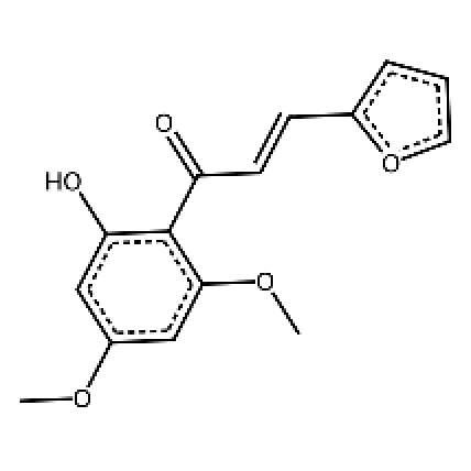 COc1cc(O)c(C(=O)/C=C/c2ccco2)c(OC)c1